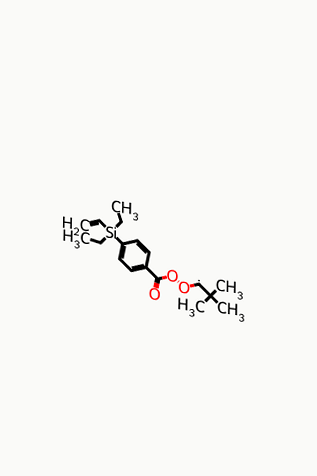 C=C[Si](CC)(CC)c1ccc(C(=O)OO[CH]C(C)(C)C)cc1